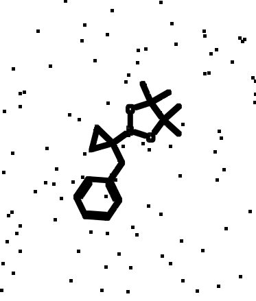 CC1(C)OB(C2(Cc3ccccc3)CC2)OC1(C)C